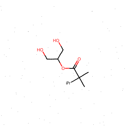 CC(C)C(C)(C)C(=O)OC(CO)CO